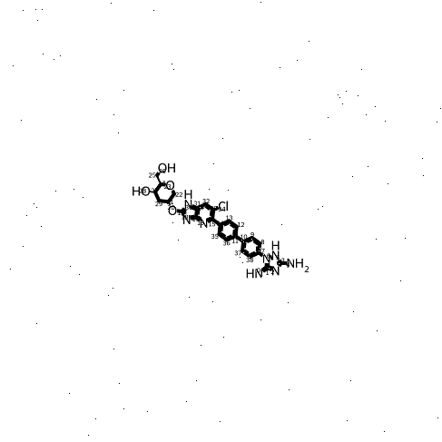 N=c1nc(N)[nH]n1-c1ccc(-c2ccc(-c3nc4nc(O[C@H]5CO[C@H](CO)[C@@H](O)C5)[nH]c4cc3Cl)cc2)cc1